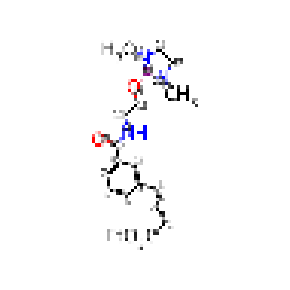 CCOC(=O)C=C=Cc1cccc(C(=O)NCCOP2N(C)CCN2C)c1